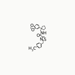 Cc1ccc(Cc2nc(C(=O)NCC3(c4ccc5c(c4)OCO5)CCCC3)cs2)cc1